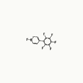 FB1[CH]C=C(c2c(F)c(F)c(F)c(F)c2F)C=C1